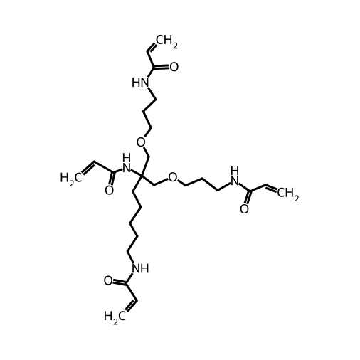 C=CC(=O)NCCCCCC(COCCCNC(=O)C=C)(COCCCNC(=O)C=C)NC(=O)C=C